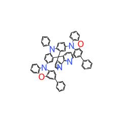 c1ccc(-c2ccc3c(c2)Oc2ccccc2N3c2ccc3c(c2)C2(c4cc(N5c6ccccc6Oc6cc(-c7ccccc7)ccc65)ccc4N3c3ccccc3)c3cccnc3-c3ncccc32)cc1